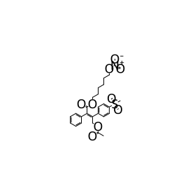 CC(=O)OCC(=C(C(=O)OCCCCCCO[N+](=O)[O-])c1ccccc1)c1ccc(S(C)(=O)=O)cc1